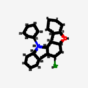 Brc1cc2oc3ccccc3c2c2c1c1ccccc1n2-c1ccccc1